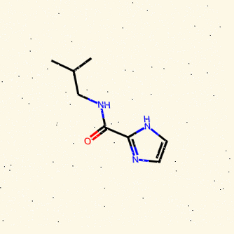 CC(C)CNC(=O)c1ncc[nH]1